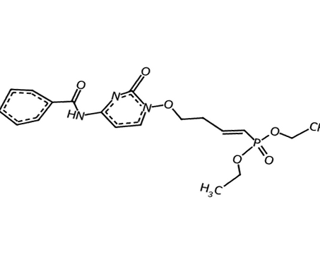 CCOP(=O)(C=CCCOn1ccc(NC(=O)c2ccccc2)nc1=O)OCC